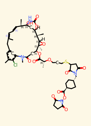 C/C1=C\C=C\[C@@H](C)[C@@]2(O)C[C@H](OC(=O)N2)[C@@H](C)[C@@H]2O[C@@]2(C)[C@@H](OC(=O)[C@@H](C)OCCCSC2CC(=O)N(C[C@H]3CC[C@H](C(=O)ON4C(=O)CCC4=O)CC3)C2=O)CC(=O)N(C)c2cc(cc(C)c2Cl)C1